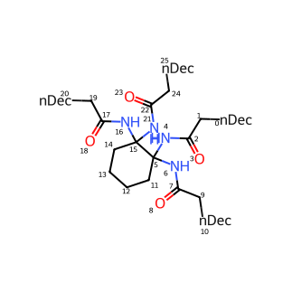 CCCCCCCCCCCC(=O)NC1(NC(=O)CCCCCCCCCCC)CCCCC1(NC(=O)CCCCCCCCCCC)NC(=O)CCCCCCCCCCC